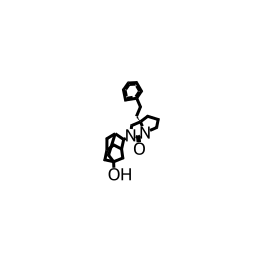 O=C1N(C2C3CC4CC2CC(O)(C4)C3)C[C@@]2(CCc3ccccc3)CCCN12